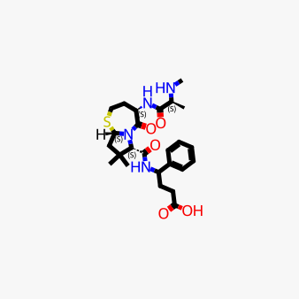 CN[C@@H](C)C(=O)N[C@H]1CCS[C@H]2CC(C)(C)[C@@H](C(=O)NC(CCC(=O)O)c3ccccc3)N2C1=O